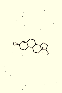 CC1CCC2C3CCC4=CC(=O)CCC4C3CC[C@]12C